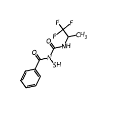 CC(NC(=O)N(S)C(=O)c1ccccc1)C(F)(F)F